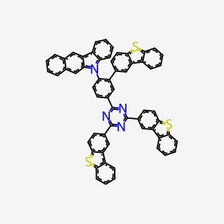 c1ccc2cc3c(cc2c1)c1ccccc1n3-c1ccc(-c2nc(-c3ccc4sc5ccccc5c4c3)nc(-c3ccc4sc5ccccc5c4c3)n2)cc1-c1ccc2sc3ccccc3c2c1